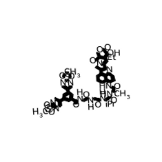 CC[C@@]1(O)C(=O)OCc2c1cc1n(c2=O)Cc2c-1nc1ccc(NC(=O)[C@H](C)NC(=O)[C@@H](NC(=O)CNC(=O)CNC(=O)c3cc(-c4cnc(S(C)(=O)=O)nc4)cc(-c4cnc(S(C)(=O)=O)nc4)c3)C(C)C)c3c1c2CCC3